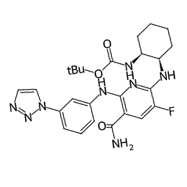 CC(C)(C)OC(=O)N[C@H]1CCCC[C@H]1Nc1nc(Nc2cccc(-n3ccnn3)c2)c(C(N)=O)cc1F